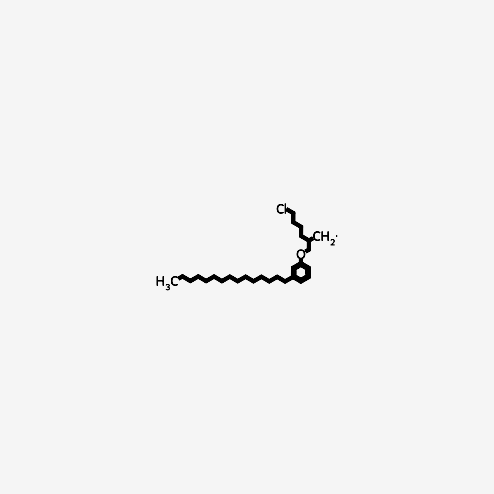 [CH2]C(CCCCCl)COc1cccc(CCCCCCCCCCCCCCC)c1